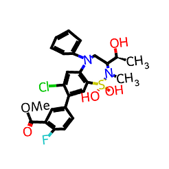 COC(=O)c1cc(-c2cc3c(cc2Cl)N(c2ccccc2)CC([C@H](C)O)N(C)S3(O)O)ccc1F